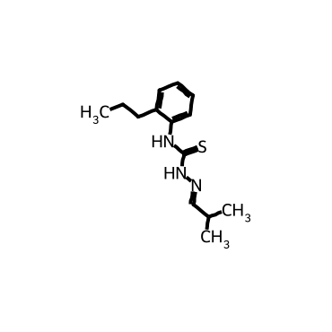 CCCc1ccccc1NC(=S)N/N=C/C(C)C